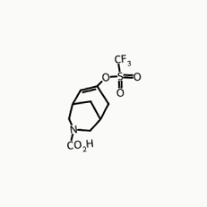 O=C(O)N1CC2C=C(OS(=O)(=O)C(F)(F)F)CC(C2)C1